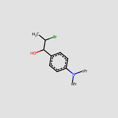 CCCN(CCC)c1ccc(C(O)C(C)Br)cc1